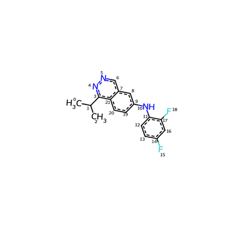 CC(C)c1nncc2cc(Nc3ccc(F)cc3F)ccc12